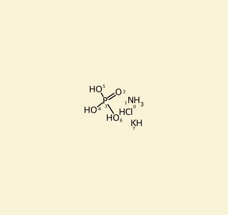 Cl.N.O=P(O)(O)O.[KH]